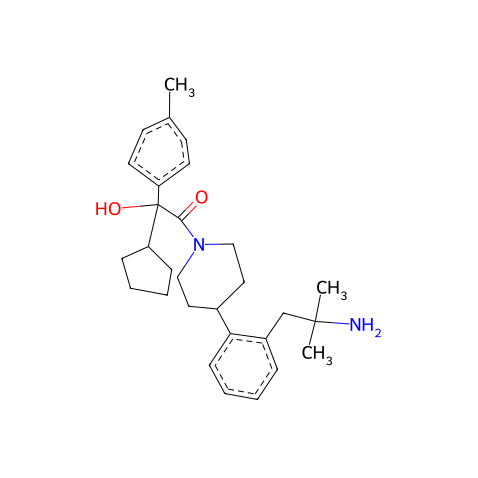 Cc1ccc(C(O)(C(=O)N2CCC(c3ccccc3CC(C)(C)N)CC2)C2CCCC2)cc1